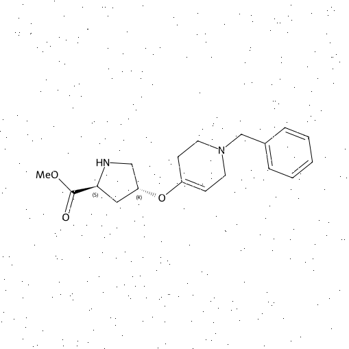 COC(=O)[C@@H]1C[C@@H](OC2=CCN(Cc3ccccc3)CC2)CN1